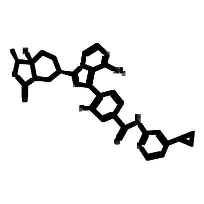 C[C@@H]1OC(=O)N2C[C@H](c3nc(-c4ccc(C(=O)Nc5cc(C6CC6)ccn5)cc4F)c4c(N)nccn34)CC[C@@H]12